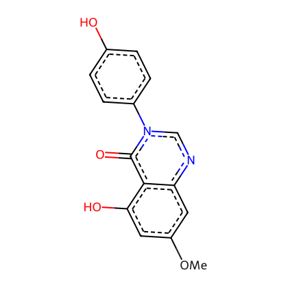 COc1cc(O)c2c(=O)n(-c3ccc(O)cc3)cnc2c1